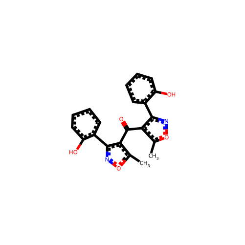 Cc1onc(-c2ccccc2O)c1C(=O)c1c(-c2ccccc2O)noc1C